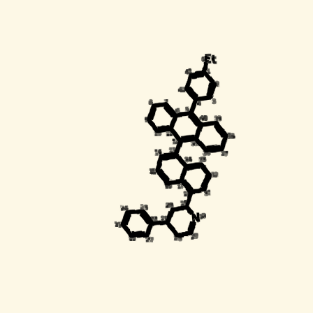 CCc1ccc(-c2c3ccccc3c(-c3cccc4c(C5CC(c6ccccc6)CC=N5)cccc34)c3ccccc23)cc1